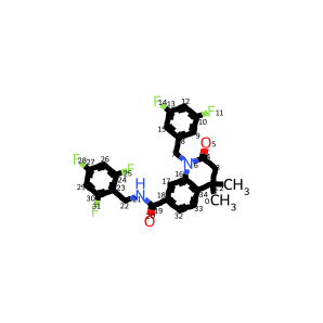 CC1(C)CC(=O)N(Cc2cc(F)cc(F)c2)c2cc(C(=O)NCc3c(F)cc(F)cc3F)ccc21